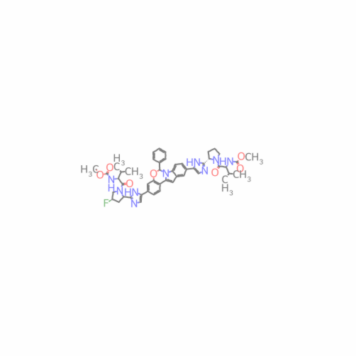 COC(=O)NC(C(=O)N1CCC[C@H]1c1ncc(-c2ccc3c(c2)cc2n3C(c3ccccc3)Oc3cc(-c4cnc(C5C[C@@H](F)CN5C(=O)[C@@H](NC(=O)OC)C(C)C)[nH]4)ccc3-2)[nH]1)C(C)C